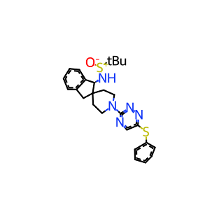 CC(C)(C)[S+]([O-])N[C@@H]1c2ccccc2CC12CCN(c1ncc(Sc3ccccc3)nn1)CC2